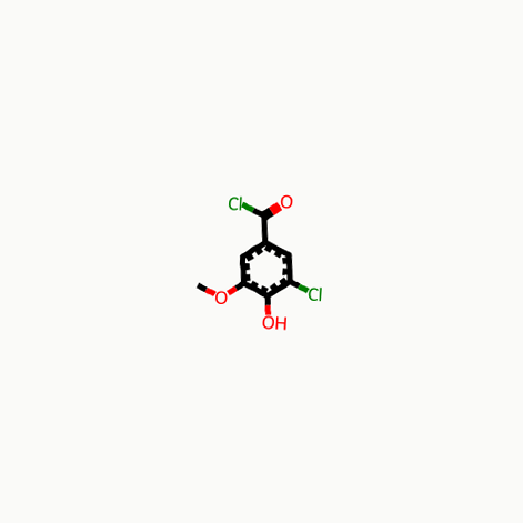 COc1cc(C(=O)Cl)cc(Cl)c1O